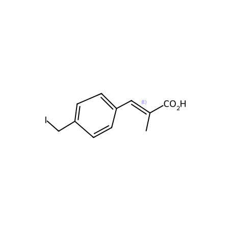 C/C(=C\c1ccc(CI)cc1)C(=O)O